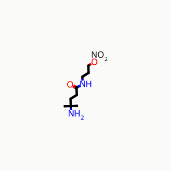 CC(C)(N)CCC(=O)NCCCO[N+](=O)[O-]